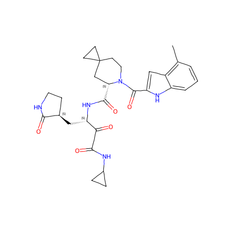 Cc1cccc2[nH]c(C(=O)N3CCC4(CC4)C[C@H]3C(=O)N[C@@H](C[C@@H]3CCNC3=O)C(=O)C(=O)NC3CC3)cc12